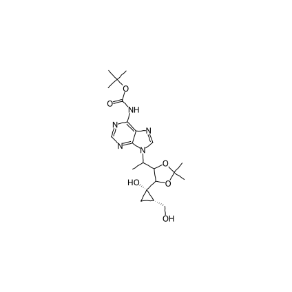 CC(C1OC(C)(C)OC1[C@]1(O)C[C@H]1CO)n1cnc2c(NC(=O)OC(C)(C)C)ncnc21